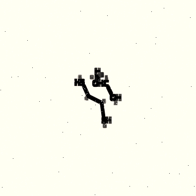 N.O=CO.SCCS